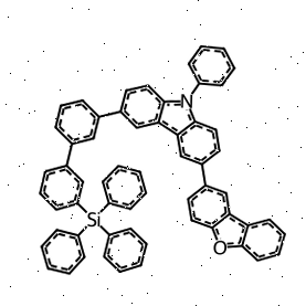 c1ccc(-n2c3ccc(-c4cccc(-c5cccc([Si](c6ccccc6)(c6ccccc6)c6ccccc6)c5)c4)cc3c3cc(-c4ccc5oc6ccccc6c5c4)ccc32)cc1